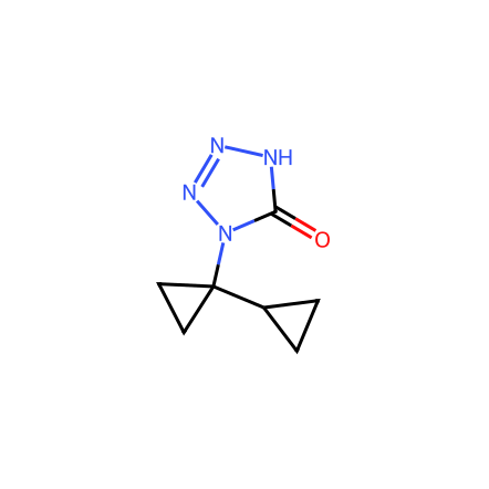 O=c1[nH]nnn1C1(C2CC2)CC1